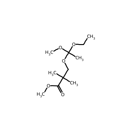 CCOC(C)(OC)OCC(C)(C)C(=O)OC